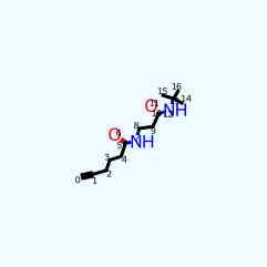 C#CCCCC(=O)NCCC(=O)NC(C)(C)C